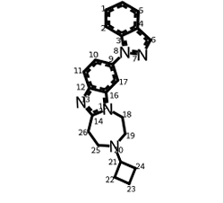 c1ccc2c(c1)cnn2-c1ccc2nc3n(c2c1)CCN(C1CCC1)CC3